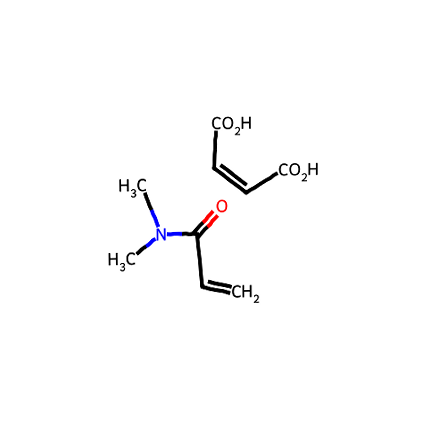 C=CC(=O)N(C)C.O=C(O)/C=C\C(=O)O